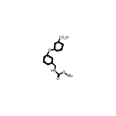 CC(C)(C)OC(=O)NCc1cccc(Oc2cccc(C(=O)O)c2)c1